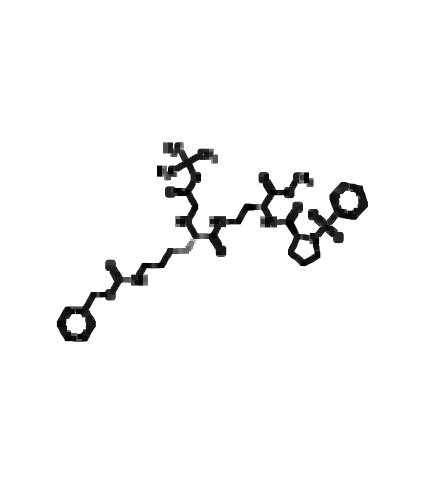 COC(=O)[C@H](CCNC(=O)[C@H](CCCCNC(=O)OCc1ccccc1)NCC(=O)OC(C)(C)C)NC(=O)[C@@H]1CCCN1S(=O)(=O)c1ccccc1